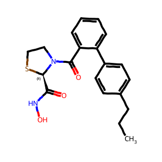 CCCc1ccc(-c2ccccc2C(=O)N2CCS[C@@H]2C(=O)NO)cc1